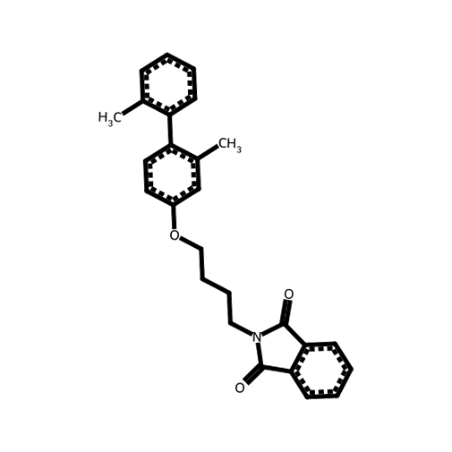 Cc1ccccc1-c1ccc(OCCCCN2C(=O)c3ccccc3C2=O)cc1C